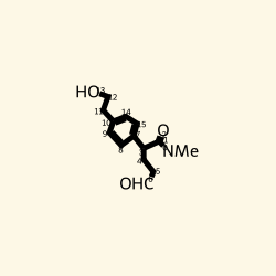 CNC(=O)C(CCC=O)c1ccc(CCO)cc1